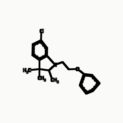 CC1N(CCOc2ccccc2)c2cc(Cl)ccc2C1(C)C